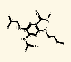 CCCCOc1cc(NC(C)=O)c(NCC(C)C)cc1C(=O)OC